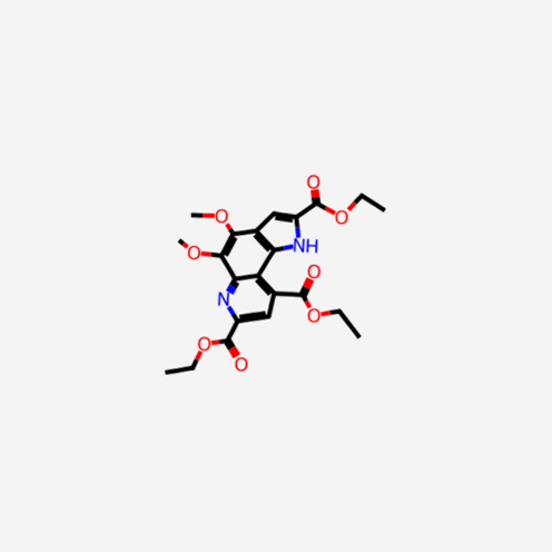 CCOC(=O)c1cc(C(=O)OCC)c2c(n1)c(OC)c(OC)c1cc(C(=O)OCC)[nH]c12